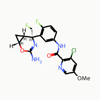 COc1cnc(C(=O)Nc2ccc(F)c([C@@]3(CF)N=C(N)O[C@@H]4C[C@@H]43)c2)c(Cl)c1